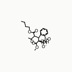 CCCCOC(=O)C(C(C)=O)C(/C(C(=O)OC)=[N+](/[O-])O)c1ccccc1S(C)(=O)=O